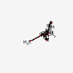 CCCCCCCCCCCCCCCC(=O)N[C@@H](C)C(=O)N1C[C@H](Oc2ccncc2)C[C@H]1C(=O)N[C@@H](C)C(=O)N[C@@H](CCCCNC(=O)OCc1ccccc1)C(N)=O